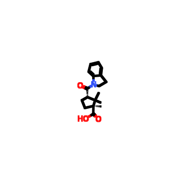 CC1(C)[C@@H](C(=O)N2CCc3ccccc32)CC[C@]1(C)C(=O)O